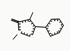 CCCCn1[nH]c(-c2ccccc2)c(CC)c1=O